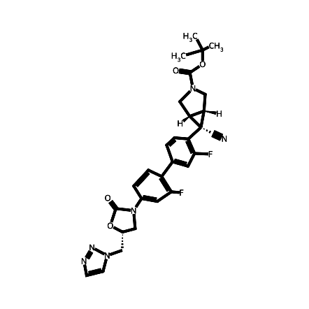 CC(C)(C)OC(=O)N1C[C@@H]2[C@H](C1)[C@@]2(C#N)c1ccc(-c2ccc(N3C[C@H](Cn4ccnn4)OC3=O)cc2F)cc1F